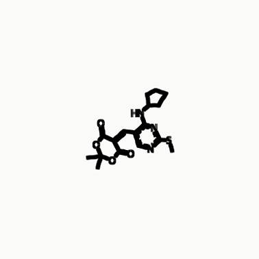 CSc1ncc(C=C2C(=O)OC(C)(C)OC2=O)c(NC2CCCC2)n1